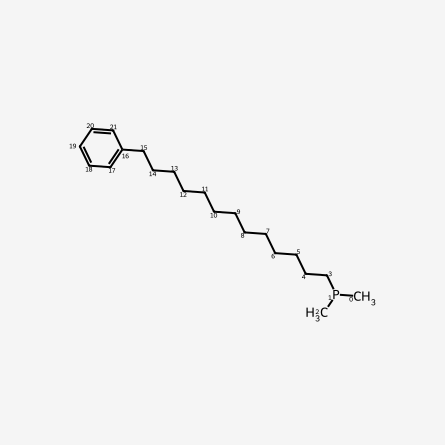 CP(C)CCCCCCCCCCCCCc1ccccc1